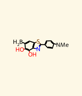 Bc1cc2sc(-c3ccc(NC)cc3)nc2c(O)c1O